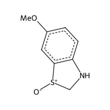 COc1ccc2c(c1)[S+]([O-])CN2